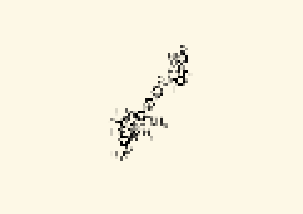 CCc1cc(Nc2ncc(Cl)c(Nc3ccc(OC)cc3NS(C)(=O)=O)n2)c(OC)cc1N1CCC(N2CCN(C(=O)CNc3c(F)ccc4c3CN(C3CCC(=O)NC3=O)C4=O)CC2)CC1